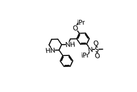 CC(C)Oc1ccc(N(C(C)C)S(C)(=O)=O)cc1CNC1CCCNC1c1ccccc1